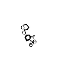 O=[N+]([O-])c1ccc(OC2CCCCO2)cc1F